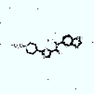 O=C(O)N1CCC(c2nc(C(=O)N(c3ccc4[nH]cnc4c3)C(F)(F)F)cs2)CC1